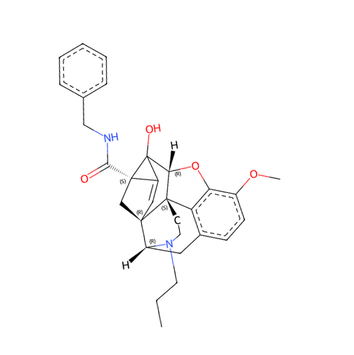 CCCN1CC[C@]23c4c5ccc(OC)c4O[C@H]2C2(O)C4=C[C@@]3(C[C@]42C(=O)NCc2ccccc2)[C@H]1C5